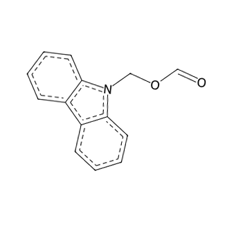 O=COCn1c2ccccc2c2ccccc21